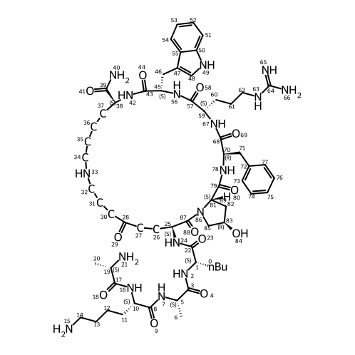 CCCC[C@H](NC(=O)[C@H](C)NC(=O)[C@H](CCCCN)NC(=O)[C@H](C)N)C(=O)N[C@H]1CCC(=O)CCCNCCCC[C@@H](C(N)=O)NC(=O)[C@H](Cc2c[nH]c3ccccc23)NC(=O)[C@H](CCCNC(=N)N)NC(=O)[C@@H](Cc2ccccc2)NC(=O)[C@@H]2C[C@@H](O)CN2C1=O